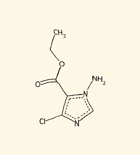 CCOC(=O)c1c(Cl)ncn1N